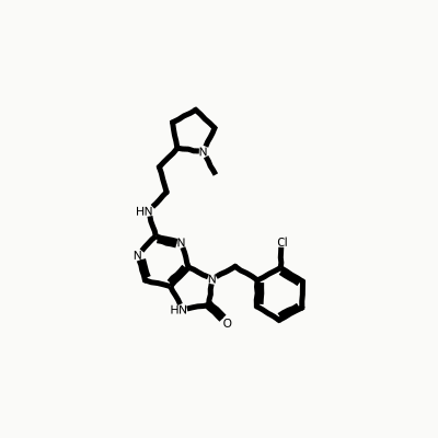 CN1CCCC1CCNc1ncc2[nH]c(=O)n(Cc3ccccc3Cl)c2n1